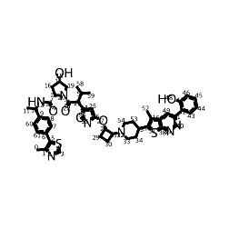 Cc1ncsc1-c1ccc(C(C)NC(=O)[C@@H]2C[C@@H](O)CN2C(=O)C(c2cc(OC3CCC3N3CCC(c4sc5nnc(-c6ccccc6O)cc5c4C)CC3)no2)C(C)C)cc1